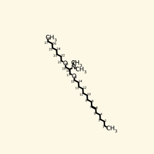 CCCCCCC=CCCCCCCCCOCC(COCCCCCCCC)N(C)C